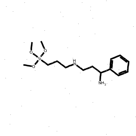 CO[Si](CCCNCCC(N)c1ccccc1)(OC)OC